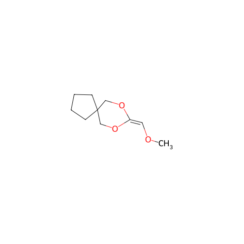 COC=C1OCC2(CCCC2)CO1